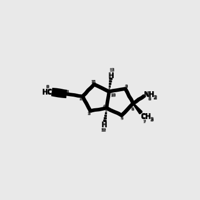 C#CC1C[C@@H]2C[C@@](C)(N)C[C@@H]2C1